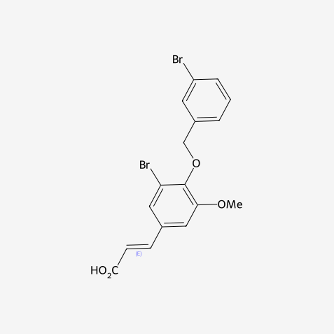 COc1cc(/C=C/C(=O)O)cc(Br)c1OCc1cccc(Br)c1